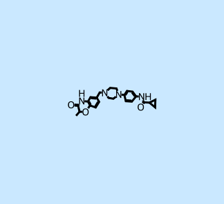 CC1Oc2ccc(CN3CCN(c4ccc(NC(=O)C5CC5)cc4)CC3)cc2NC1=O